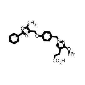 CCCOc1nn(Cc2ccc(OCc3nc(-c4ccccc4)oc3C)cc2)cc1CCC(=O)O